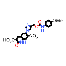 COc1ccc(NC(=O)OCc2cn(-c3cc4cc(C(=O)O)c(=O)[nH]c4cc3[N+](=O)[O-])cn2)cc1